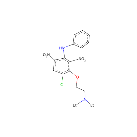 CCN(CC)CCOc1c(Cl)cc([N+](=O)[O-])c(Nc2ccccc2)c1[N+](=O)[O-]